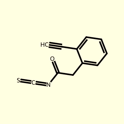 C#Cc1ccccc1CC(=O)N=C=S